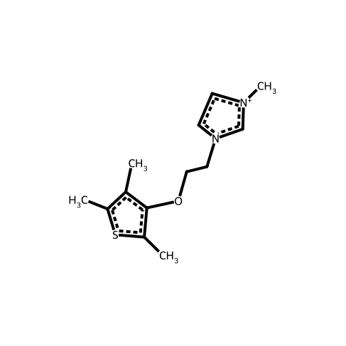 Cc1sc(C)c(OCCn2cc[n+](C)c2)c1C